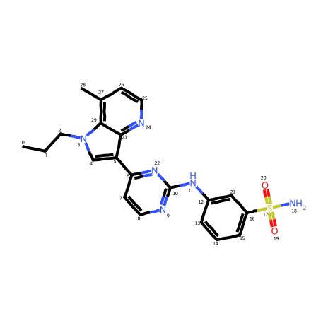 CCCn1cc(-c2ccnc(Nc3cccc(S(N)(=O)=O)c3)n2)c2nccc(C)c21